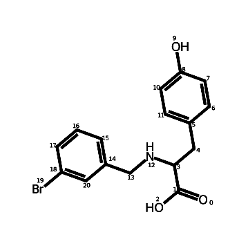 O=C(O)C(Cc1ccc(O)cc1)NCc1cccc(Br)c1